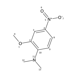 COc1cc([N+](=O)[O-])ccc1N(C)C